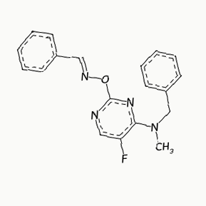 CN(Cc1ccccc1)c1nc(O/N=C/c2ccccc2)ncc1F